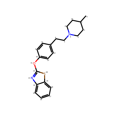 CC1CCN(CCc2ccc(Oc3nc4ccccc4s3)cc2)CC1